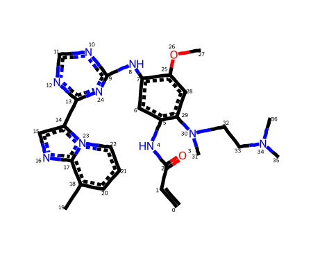 C=CC(=O)Nc1cc(Nc2ncnc(-c3cnc4c(C)cccn34)n2)c(OC)cc1N(C)CCN(C)C